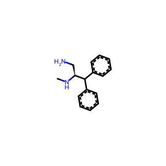 CN[C@@H](CN)C(c1ccccc1)c1ccccc1